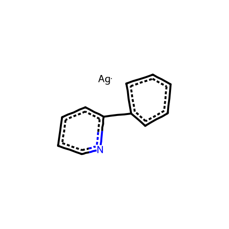 [Ag].c1ccc(-c2ccccn2)cc1